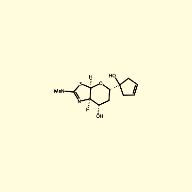 CNC1=N[C@H]2[C@H](O[C@H](C3(O)CC=CC3)C[C@@H]2O)S1